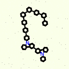 c1ccc(-c2cccc(-c3ccc(-c4cccc(-c5cccc(-c6ccc(-c7ccc(-c8ccc(-n9c%10ccccc%10c%10cc(-c%11ccc%12c(c%11)c%11ccccc%11n%12-c%11ccccc%11)ccc%109)cc8)cc7)cc6)c5)c4)cc3)c2)cc1